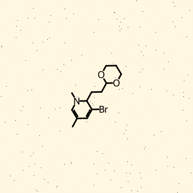 CC1=CN(C)C(CCC2OCCCO2)C(Br)=C1